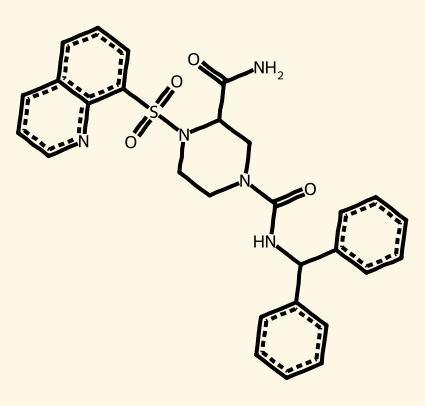 NC(=O)C1CN(C(=O)NC(c2ccccc2)c2ccccc2)CCN1S(=O)(=O)c1cccc2cccnc12